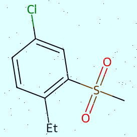 CCc1ccc(Cl)cc1S(C)(=O)=O